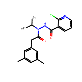 CCCC(N(NC(=O)c1cccnc1Cl)C(=O)Cc1cc(C)cc(C)c1)C(C)(C)C